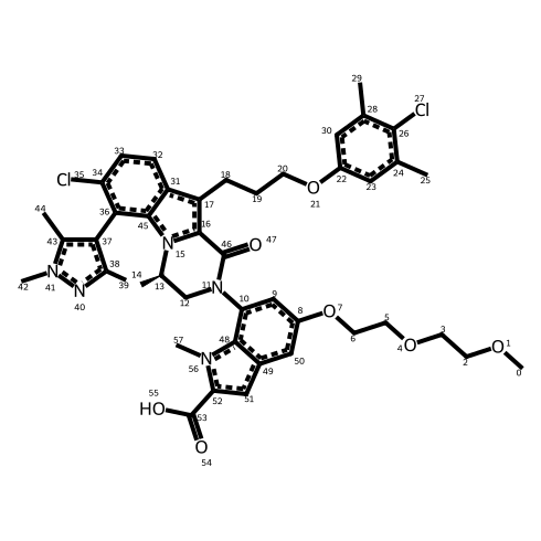 COCCOCCOc1cc(N2C[C@@H](C)n3c(c(CCCOc4cc(C)c(Cl)c(C)c4)c4ccc(Cl)c(-c5c(C)nn(C)c5C)c43)C2=O)c2c(c1)cc(C(=O)O)n2C